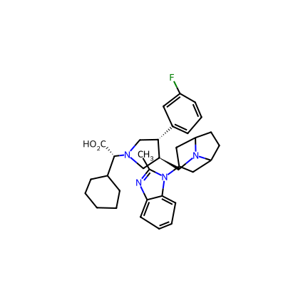 Cc1nc2ccccc2n1C1CC2CCC(C1)N2C[C@H]1CN([C@@H](C(=O)O)C2CCCCC2)C[C@@H]1c1cccc(F)c1